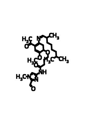 COC1=CC(C(C)=O)=C(/N=C\C(C)CCCCC(C)C)CC1OCCCC(=O)Nc1cn(C)c(C=O)n1